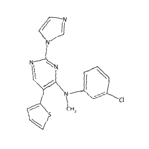 CN(c1cccc(Cl)c1)c1nc(-n2ccnc2)ncc1-c1cccs1